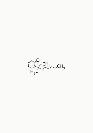 CCCCCCC(C)(CC)N1CCC=CC1=O